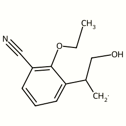 [CH2]C(CO)c1cccc(C#N)c1OCC